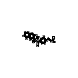 CC(=O)/C=C/c1ccc(NS(=O)(=O)c2ccc3ccccc3c2)cc1